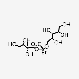 CC[C@@](OCC(O)[C@H](O)C(O)CO)(OC[C@H](O)[C@H](O)CO)C(=O)O